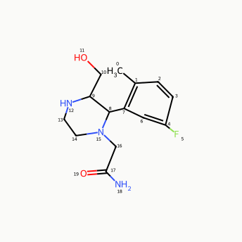 Cc1ccc(F)cc1C1C(CO)NCCN1CC(N)=O